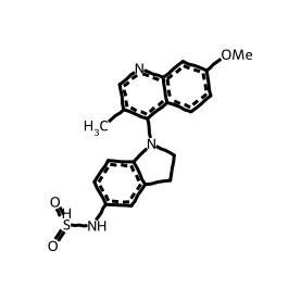 COc1ccc2c(N3CCc4cc(N[SH](=O)=O)ccc43)c(C)cnc2c1